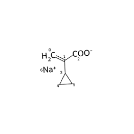 C=C(C(=O)[O-])C1CC1.[Na+]